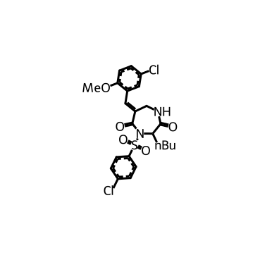 CCCCC1C(=O)NC/C(=C\c2cc(Cl)ccc2OC)C(=O)N1S(=O)(=O)c1ccc(Cl)cc1